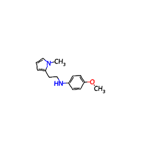 COc1ccc(NCCc2cccn2C)cc1